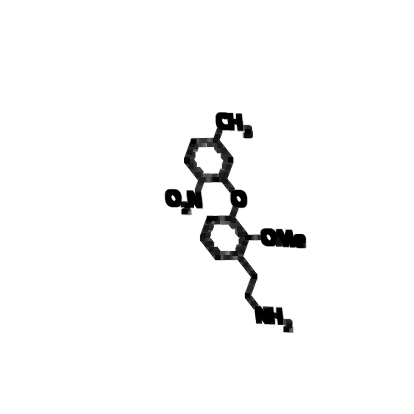 COc1c(CCN)cccc1Oc1cc(C)ccc1[N+](=O)[O-]